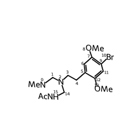 CNCN(CCc1cc(OC)c(Br)cc1OC)CNC(C)=O